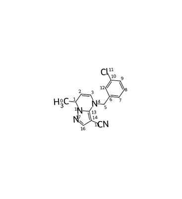 CC1C=CN(Cc2cccc(Cl)c2)c2c(C#N)cnn21